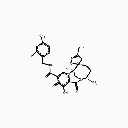 CC1=NO[C@]2(CC[C@H](C)N3C[C@H]2n2cc(C(=O)NCc4ccc(C)cc4F)c(=O)c(O)c2C3=O)C1